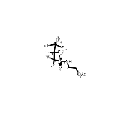 CC(=O)OCCNS(=O)(=O)C(F)(F)C(F)(F)C(F)(F)C(F)(F)F